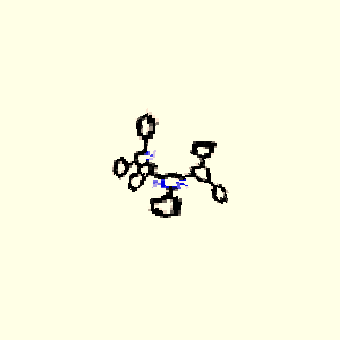 c1ccc(-c2cc(-c3ccccc3)cc(-c3cc(-c4cc5nc(-c6ccccc6)cc(-c6ccccc6)c5c5ccccc45)nc(-c4ccccc4)n3)c2)cc1